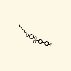 CCCCCCCO[C@H]1CC[C@H](OC(=O)c2ccc(-c3ccc(F)cc3)cc2)CC1